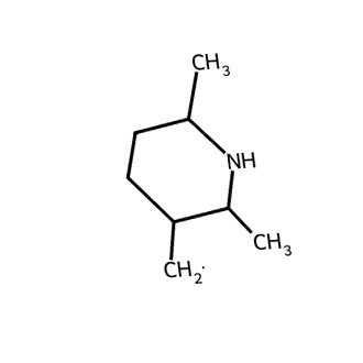 [CH2]C1CCC(C)NC1C